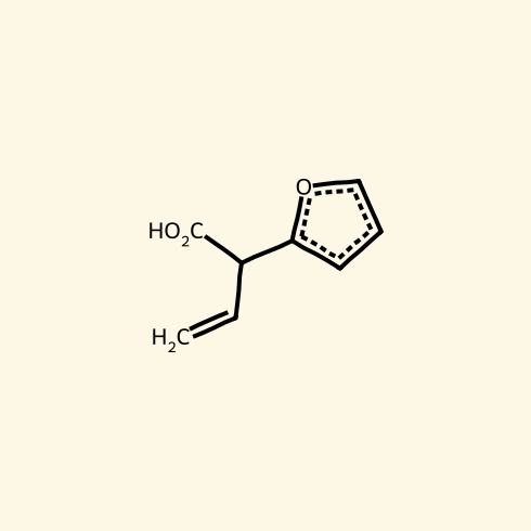 C=CC(C(=O)O)c1ccco1